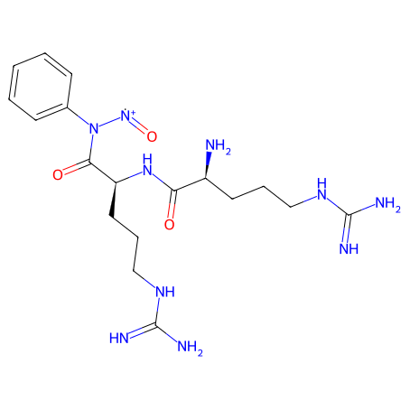 N=C(N)NCCC[C@H](NC(=O)[C@@H](N)CCCNC(=N)N)C(=O)N([N+]=O)c1ccccc1